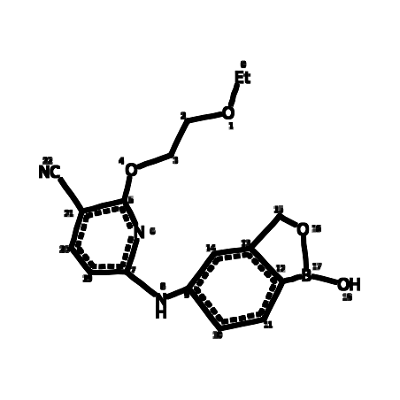 CCOCCOc1nc(Nc2ccc3c(c2)COB3O)ccc1C#N